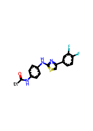 CCC(=O)Nc1ccc(Nc2nc(-c3ccc(F)c(F)c3)cs2)cc1